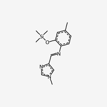 Cc1ccc(/N=C/c2cn(C)cn2)c(O[Si](C)(C)C)c1